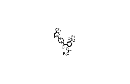 CCS(=O)(=O)c1ccc(OC(C)C(F)(F)F)c(C(=O)N2CCN(c3ncc(C(F)(F)F)s3)CC2)c1